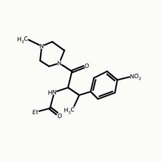 CCC(=O)NC(C(=O)N1CCN(C)CC1)C(C)c1ccc([N+](=O)[O-])cc1